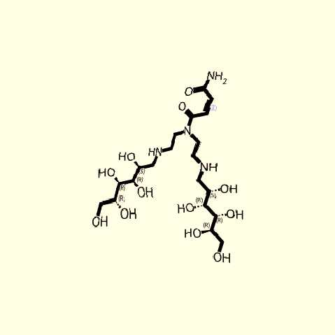 NC(=O)/C=C\C(=O)N(CCNC[C@H](O)[C@@H](O)[C@H](O)[C@H](O)CO)CCNC[C@H](O)[C@@H](O)[C@H](O)[C@H](O)CO